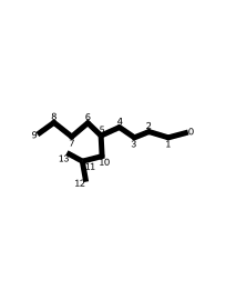 CCCCCC(CCCC)CC(C)C